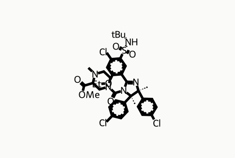 CCOc1cc(Cl)c(S(=O)(=O)NC(C)(C)C)cc1C1=N[C@@](C)(c2ccc(Cl)cc2)[C@@](C)(c2ccc(Cl)cc2)N1C(=O)N1CCN(C)C(C(=O)OC)C1